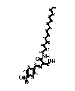 CCCCCCCCCCCCCCNC(=O)C(CO)N=Cc1ccc([N+](=O)[O-])cc1